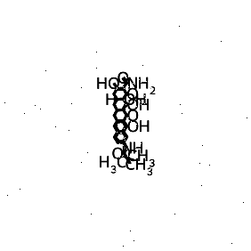 CC(C)(C)C(=O)Nc1ccc2cc3c(c(O)c2c1)C(=O)C1=C(O)[C@]2(O)C(=O)C(C(N)=O)=C(O)C[C@@H]2CC1C3